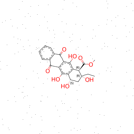 CC[C@@]1(O)C[C@H](O)c2c(O)c3c(c(O)c2[C@H]1C(=O)OC)C(=O)c1ccccc1C3=O